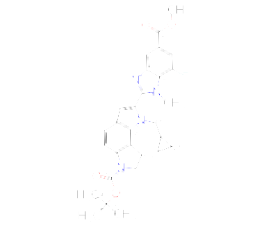 COC(=O)c1cc(F)c2c(c1)nc(-c1cc3ccc4c(c3n1CC1CC1)CCN4C(=O)OC(C)(C)C)n2C